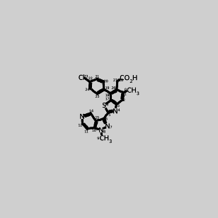 Cc1cc2nc(-c3nn(C)c4ccncc34)sc2c(-c2ccc(Cl)cc2)c1CC(=O)O